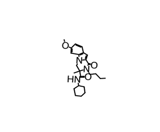 CCCCN1C(=O)c2cc3ccc(OC)cc3n2CC1(C)C(=O)NC1CCCCC1